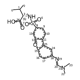 CC(C)[C@H](NS(=O)(=O)c1ccc2c(c1)oc1ccc(N=CN(C)C)cc12)C(=O)O